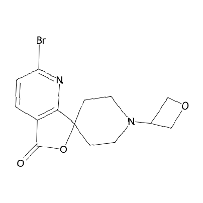 O=C1OC2(CCN(C3COC3)CC2)c2nc(Br)ccc21